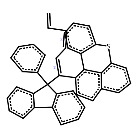 C=C/C=C\C=C(/c1ccc2cccc3c2c1-c1ccccc1S3)C1(c2ccccc2)c2ccccc2-c2ccccc21